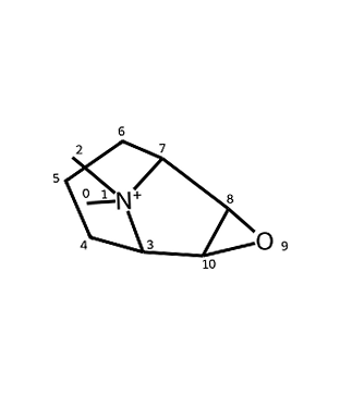 C[N+]1(C)C2CCCC1C1OC12